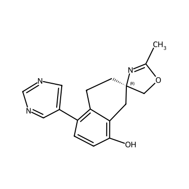 CC1=N[C@@]2(CCc3c(-c4cncnc4)ccc(O)c3C2)CO1